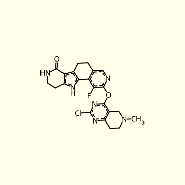 CN1CCc2nc(Cl)nc(Oc3ncc4c(c3F)-c3[nH]c5c(c3CC4)C(=O)NCC5)c2C1